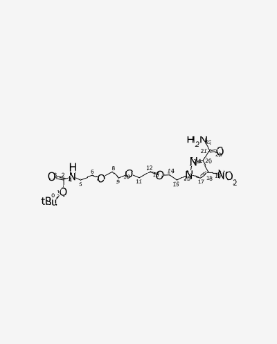 CC(C)(C)OC(=O)NCCOCCOCCOCCn1cc([N+](=O)[O-])c(C(N)=O)n1